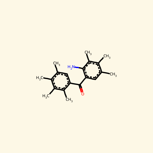 Cc1cc(C(=O)c2cc(C)c(C)c(C)c2N)c(C)c(C)c1C